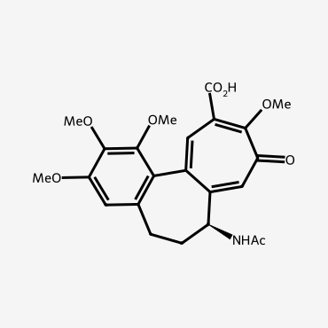 COc1cc2c(c(OC)c1OC)-c1cc(C(=O)O)c(OC)c(=O)cc1[C@@H](NC(C)=O)CC2